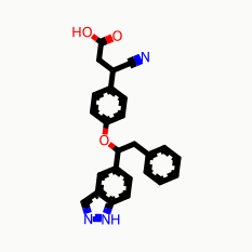 N#CC(CC(=O)O)c1ccc(OC(Cc2ccccc2)c2ccc3[nH]ncc3c2)cc1